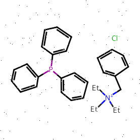 CC[N+](CC)(CC)Cc1ccccc1.[Cl-].c1ccc(P(c2ccccc2)c2ccccc2)cc1